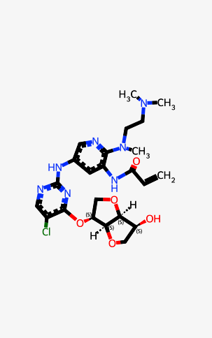 C=CC(=O)Nc1cc(Nc2ncc(Cl)c(O[C@H]3CO[C@@H]4[C@H]3OC[C@@H]4O)n2)cnc1N(C)CCN(C)C